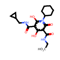 O=C(O)CNC(=O)c1c(O)c(C(=O)NCC2CC2)c(O)n(C2CCCCC2)c1=O